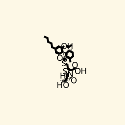 C=C(C)[C@@H]1CCC(C)=C[C@H]1c1c(O)cc(CCCCC)cc1OC(=S)SCC1=C(C(=O)O)N2C(=O)[C@H]([C@@H](C)O)[C@H]2S1